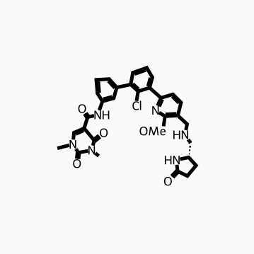 COc1nc(-c2cccc(-c3cccc(NC(=O)c4cn(C)c(=O)n(C)c4=O)c3)c2Cl)ccc1CNC[C@@H]1CCC(=O)N1